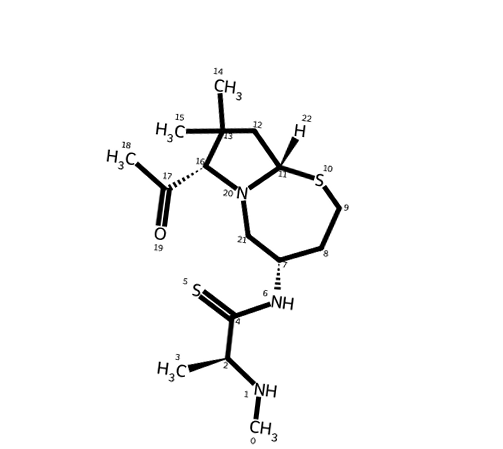 CN[C@@H](C)C(=S)N[C@H]1CCS[C@H]2CC(C)(C)[C@@H](C(C)=O)N2C1